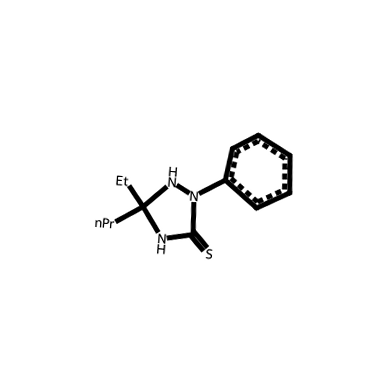 CCCC1(CC)NC(=S)N(c2ccccc2)N1